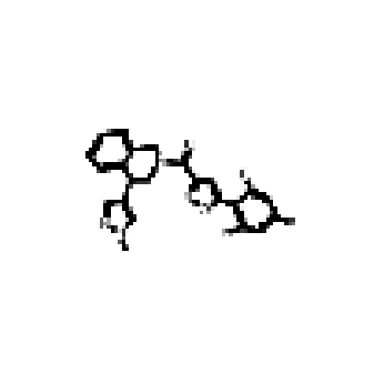 Cn1cc(C2CN(C(=O)c3cc(-c4c(F)cc(F)cc4F)on3)Cc3ccccc32)cn1